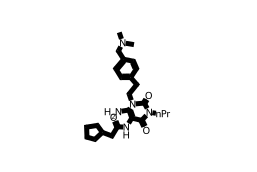 CCCn1c(=O)c(NC(=O)CC2CCCC2)c(N)n(CCc2ccc(CN(C)C)cc2)c1=O